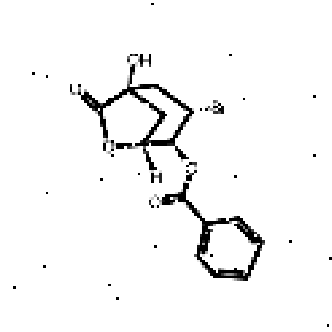 O=C(O[C@@H]1[C@@H](Br)C[C@]2(O)C[C@H]1OC2=O)c1ccccc1